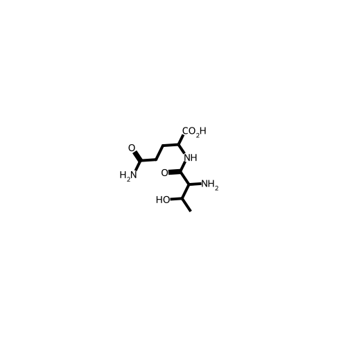 CC(O)C(N)C(=O)NC(CCC(N)=O)C(=O)O